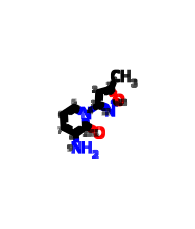 Cc1cc(-n2cccc(N)c2=O)no1